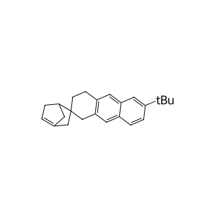 CC(C)(C)c1ccc2cc3c(cc2c1)CCC1(CC2=CCC1C2)C3